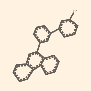 Brc1cccc(-c2cccc(-c3cc4ccccc4c4ccccc34)c2)c1